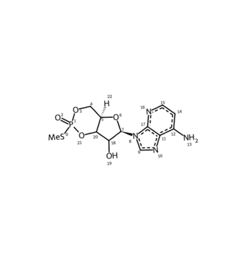 CSP1(=O)OC[C@H]2O[C@@H](n3cnc4c(N)ccnc43)C(O)C2O1